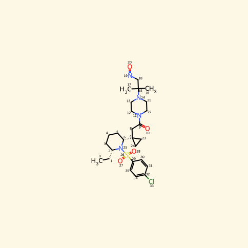 CC[C@@H]1CCC[C@H](C2(CC(=O)N3CCN(C(C)(C)CN=O)CC3)CC2)N1S(=O)(=O)c1ccc(Cl)cc1